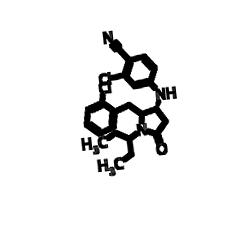 CCC(CC)N1C(=O)C[C@H](Nc2ccc(C#N)c(Cl)c2)C1Cc1ccccc1Cl